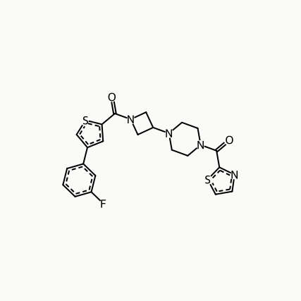 O=C(c1cc(-c2cccc(F)c2)cs1)N1CC(N2CCN(C(=O)c3nccs3)CC2)C1